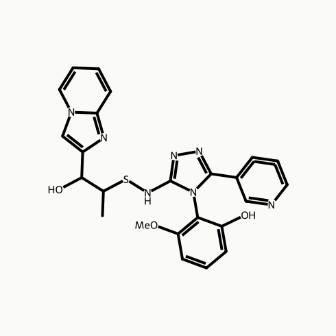 COc1cccc(O)c1-n1c(NSC(C)C(O)c2cn3ccccc3n2)nnc1C1=C=C=CN=C1